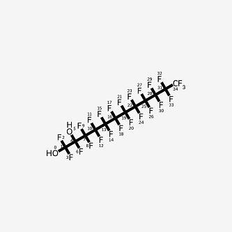 OC(F)(F)C(O)(F)C(F)(F)C(F)(F)C(F)(F)C(F)(F)C(F)(F)C(F)(F)C(F)(F)C(F)(F)C(F)(F)C(F)(F)F